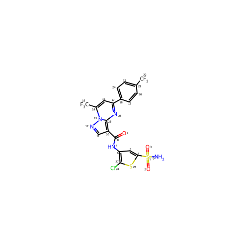 NS(=O)(=O)c1cc(NC(=O)c2cnn3c(C(F)(F)F)cc(-c4ccc(C(F)(F)F)cc4)nc23)c(Cl)s1